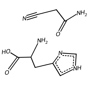 N#CCC(N)=O.NC(Cc1c[nH]cn1)C(=O)O